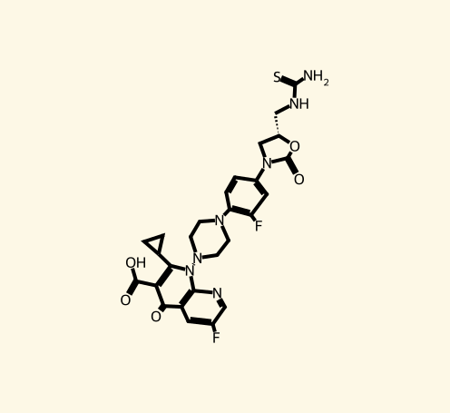 NC(=S)NC[C@H]1CN(c2ccc(N3CCN(n4c(C5CC5)c(C(=O)O)c(=O)c5cc(F)cnc54)CC3)c(F)c2)C(=O)O1